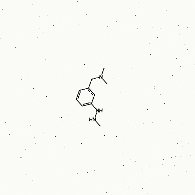 CNNc1cccc(CN(C)C)c1